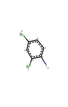 Brc1ccc(I)c(Br)c1